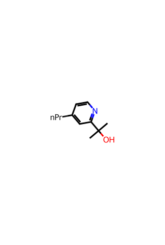 CCCc1ccnc(C(C)(C)O)c1